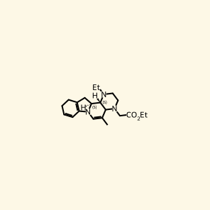 CCOC(=O)CN1CCN(CC)[C@@H]2C1C(C)=CN1C3=C(CCC=C3)C[C@@H]21